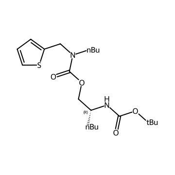 CCCC[C@H](COC(=O)N(CCCC)Cc1cccs1)NC(=O)OC(C)(C)C